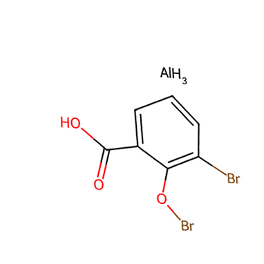 O=C(O)c1cccc(Br)c1OBr.[AlH3]